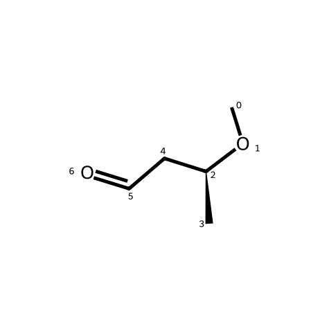 CO[C@@H](C)CC=O